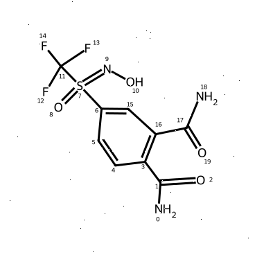 NC(=O)c1ccc(S(=O)(=NO)C(F)(F)F)cc1C(N)=O